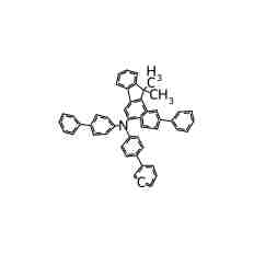 CC1(C)c2ccccc2-c2cc(N(c3ccc(-c4ccccc4)cc3)c3ccc(-c4ccccc4)cc3)c3ccc(-c4ccccc4)cc3c21